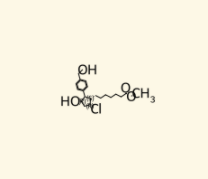 COC(=O)CCCCCC[C@H]1C(c2ccc(CO)cc2)[C@H](O)C[C@H]1Cl